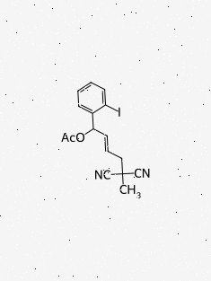 CC(=O)OC(/C=C/CC(C)(C#N)C#N)c1ccccc1I